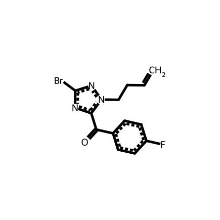 C=CCCn1nc(Br)nc1C(=O)c1ccc(F)cc1